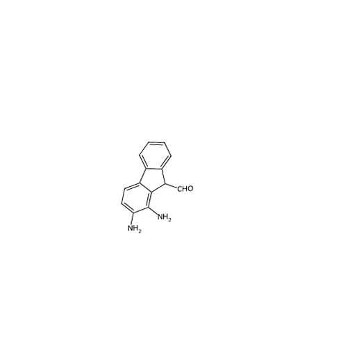 Nc1ccc2c(c1N)C(C=O)c1ccccc1-2